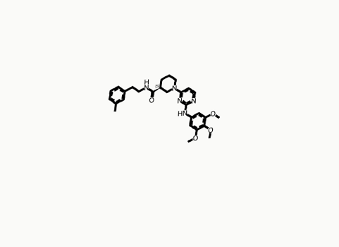 COc1cc(Nc2nccc(N3CCC[C@H](C(=O)NCCc4cccc(C)c4)C3)n2)cc(OC)c1OC